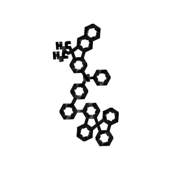 CC1(C)c2ccc(N(c3ccccc3)c3ccc(-c4ccccc4-c4cccc5c4-c4ccccc4C54c5ccccc5-c5ccccc54)cc3)cc2-c2cc3ccccc3cc21